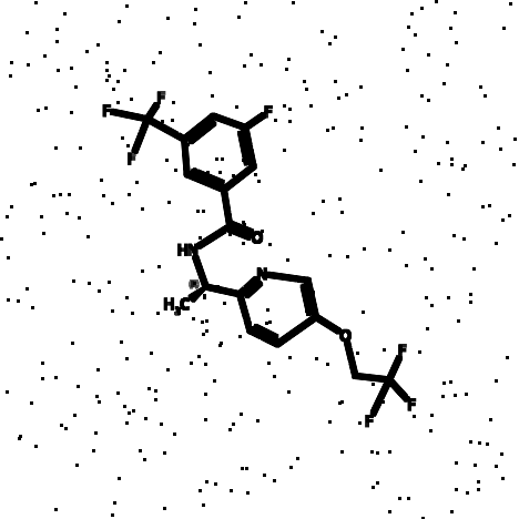 C[C@@H](NC(=O)c1cc(F)cc(C(F)(F)F)c1)c1ccc(OCC(F)(F)F)cn1